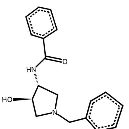 O=C(N[C@@H]1CN(Cc2ccccc2)C[C@H]1O)c1ccccc1